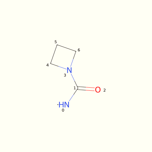 [NH]C(=O)N1CCC1